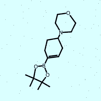 CC1(C)OB(C2=CCC(N3CCOCC3)CC2)OC1(C)C